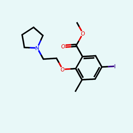 COC(=O)c1cc(I)cc(C)c1OCCN1CCCC1